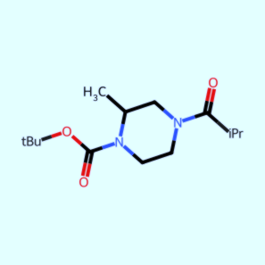 CC(C)C(=O)N1CCN(C(=O)OC(C)(C)C)C(C)C1